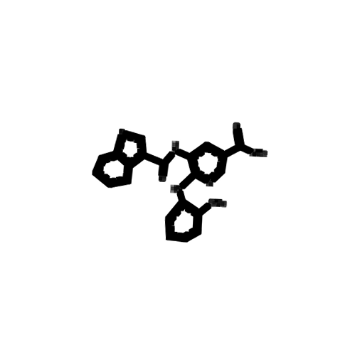 CNC(=O)c1cnc(Nc2ccccc2OC)c(NC(=O)c2csc3ccccc23)c1